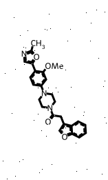 COc1cc(N2CCN(C(=O)Cc3coc4ccccc34)CC2)ccc1-c1cnc(C)o1